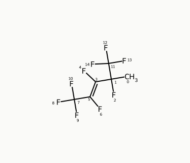 CC(F)(C(F)=C(F)C(F)(F)F)C(F)(F)F